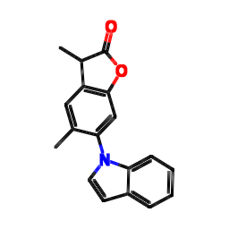 Cc1cc2c(cc1-n1ccc3ccccc31)OC(=O)C2C